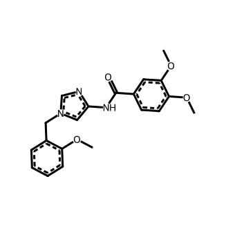 COc1ccccc1Cn1cnc(NC(=O)c2ccc(OC)c(OC)c2)c1